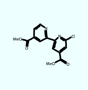 COC(=O)c1ccnc(-c2cc(C(=O)OC)cc(Cl)n2)c1